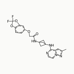 Cc1cc2c(NC34CC(NC(=O)COc5ccc6c(c5)OC(F)(F)O6)(C3)C4)nccn2n1